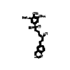 COc1cc(C(C#N)(CCCN(C)CCc2ccc3c(c2)COCO3)C(C)C)cc(OC)c1OC.Cl